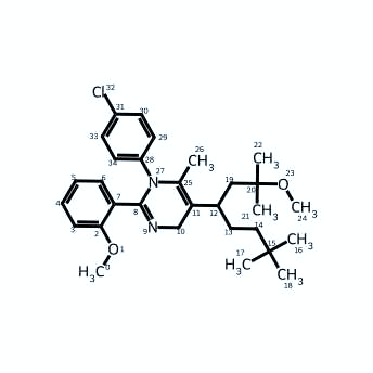 COc1ccccc1C1=NCC(C(CCC(C)(C)C)CC(C)(C)OC)=C(C)N1c1ccc(Cl)cc1